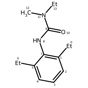 CCc1cccc(CC)c1NC(=O)N(C)CC